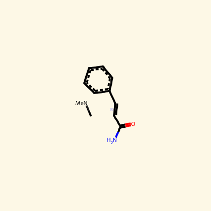 CNC.NC(=O)/C=C/c1ccccc1